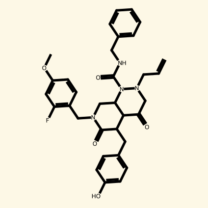 C=CCN1CC(=O)C2C(Cc3ccc(O)cc3)C(=O)N(Cc3ccc(OC)cc3F)CC2N1C(=O)NCc1ccccc1